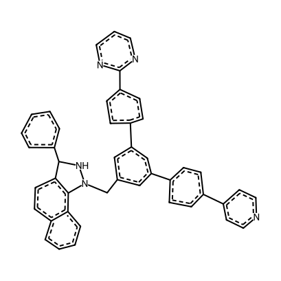 c1ccc(C2NN(Cc3cc(-c4ccc(-c5ccncc5)cc4)cc(-c4ccc(-c5ncccn5)cc4)c3)c3c2ccc2ccccc32)cc1